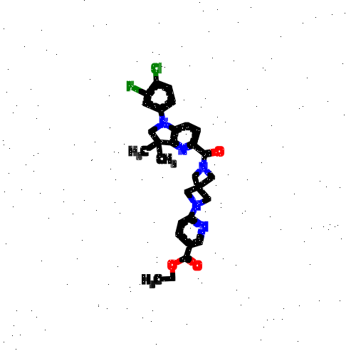 CCOC(=O)c1ccc(N2CC3(CN(C(=O)c4ccc5c(n4)C(C)(C)CN5c4ccc(Cl)c(F)c4)C3)C2)nc1